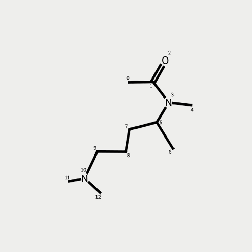 CC(=O)N(C)C(C)CCCN(C)C